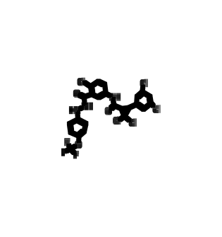 O=C(NNc1ccc(OC(F)(F)F)cc1)c1cc(NC(=O)C2C(c3cc(Cl)cc(Cl)c3)C2(Cl)Cl)ccc1Cl